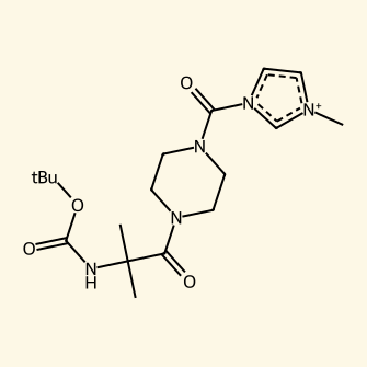 C[n+]1ccn(C(=O)N2CCN(C(=O)C(C)(C)NC(=O)OC(C)(C)C)CC2)c1